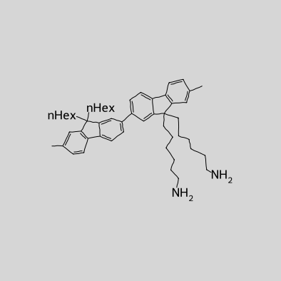 CCCCCCC1(CCCCCC)c2cc(C)ccc2-c2ccc(-c3ccc4c(c3)C(CCCCCCN)(CCCCCCN)c3cc(C)ccc3-4)cc21